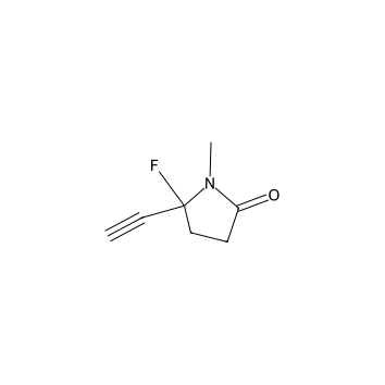 C#CC1(F)CCC(=O)N1C